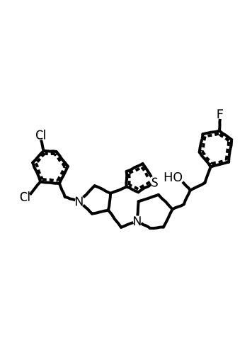 OC(Cc1ccc(F)cc1)CC1CCN(CC2CN(Cc3ccc(Cl)cc3Cl)CC2c2ccsc2)CC1